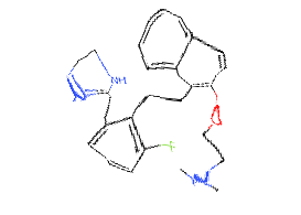 CN(C)CCOc1ccc2ccccc2c1CCc1c(F)cccc1C1=NCCN1